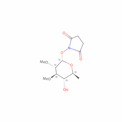 CO[C@@H]1[C@H](ON2C(=O)CCC2=O)O[C@@H](C)[C@H](O)[C@H]1OC